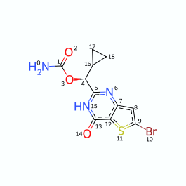 NC(=O)O[C@H](c1nc2cc(Br)sc2c(=O)[nH]1)C1CC1